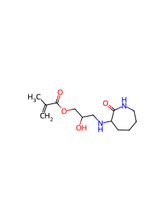 C=C(C)C(=O)OCC(O)CNC1CCCCNC1=O